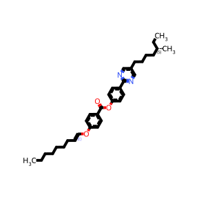 CCCCCCC/C=C/Oc1ccc(C(=O)Oc2ccc(-c3ncc(CCCC[C@@H](C)CC)cn3)cc2)cc1